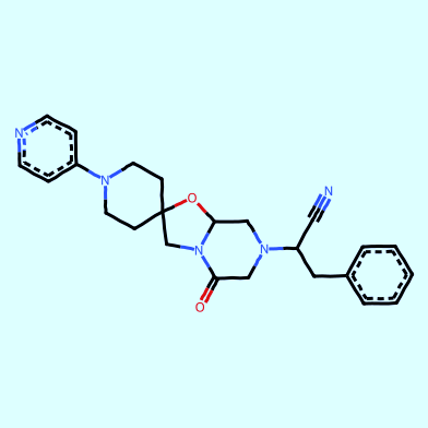 N#CC(Cc1ccccc1)N1CC(=O)N2CC3(CCN(c4ccncc4)CC3)OC2C1